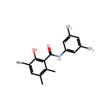 Cc1cc(C(C)(C)C)c(O)c(C(=O)Nc2cc(C(F)(F)F)cc(C(F)(F)F)c2)c1C